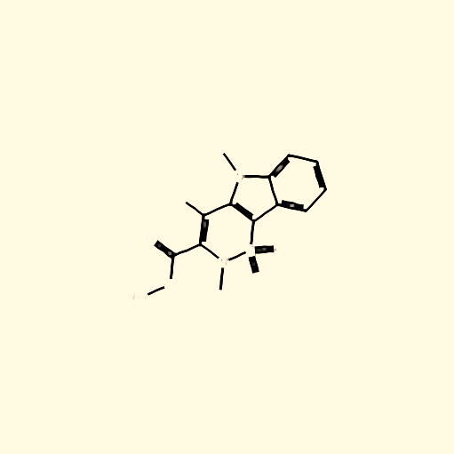 CCCCOC(=O)C1=C(O)c2c(c3ccccc3n2C)S(=O)(=O)N1C